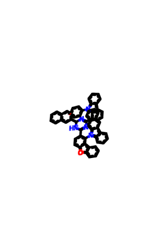 c1ccc(-n2c3ccccc3c3cccc(C4=NC(c5ccc6ccccc6c5)NC(c5ccc6oc7ccccc7c6c5-n5c6ccccc6c6cc7ccccc7cc65)=N4)c32)cc1